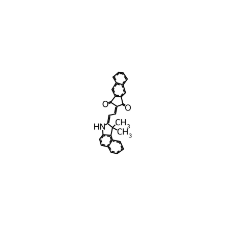 CC1(C)/C(=C\C=C2C(=O)c3cc4ccccc4cc3C2=O)Nc2ccc3ccccc3c21